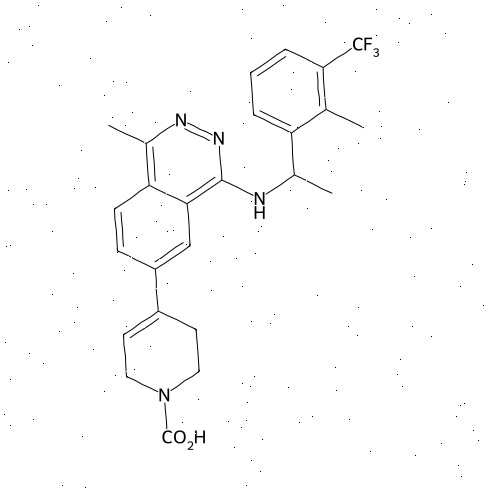 Cc1c(C(C)Nc2nnc(C)c3ccc(C4=CCN(C(=O)O)CC4)cc23)cccc1C(F)(F)F